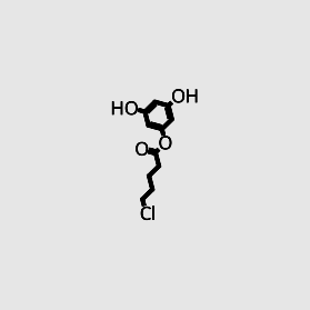 O=C(CCCCCl)Oc1cc(O)cc(O)c1